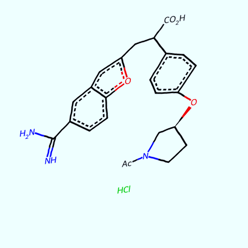 CC(=O)N1CC[C@H](Oc2ccc(C(Cc3cc4cc(C(=N)N)ccc4o3)C(=O)O)cc2)C1.Cl